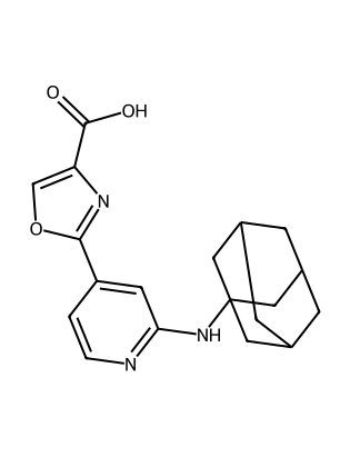 O=C(O)c1coc(-c2ccnc(NC34CC5CC(CC(C5)C3)C4)c2)n1